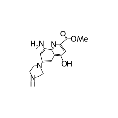 COC(=O)c1cc(O)c2cc(N3CCNCC3)cc(N)c2n1